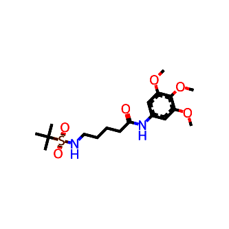 COc1cc(NC(=O)CCCCNS(=O)(=O)C(C)(C)C)cc(OC)c1OC